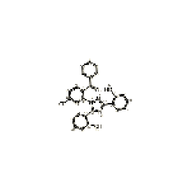 O=C(c1ccccc1)c1ccc(Cl)cc1-n1nc(-c2ccccc2O)nc1-c1ccccc1O